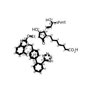 CCCCC[C@H](O)/C=C/[C@H]1[C@H](O)CC(=O)[C@@H]1CCCCCCC(=O)O.CCOc1nc2cccc(C(=O)O)c2n1Cc1ccc(-c2ccccc2-c2nnn[nH]2)cc1